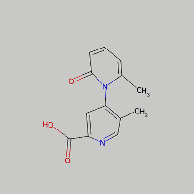 Cc1cnc(C(=O)O)cc1-n1c(C)cccc1=O